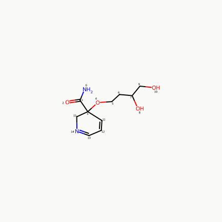 NC(=O)C1(OCCC(O)CO)C=CC=NC1